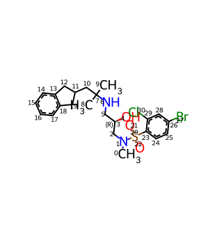 CN(C[C@H](O)CNC(C)(C)CC1Cc2ccccc2C1)S(=O)(=O)c1ccc(Br)cc1Cl